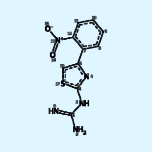 N=C(N)Nc1nc(-c2ccccc2[N+](=O)[O-])cs1